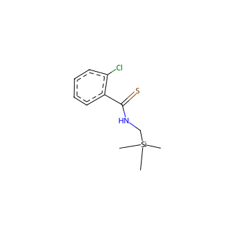 C[Si](C)(C)CNC(=S)c1ccccc1Cl